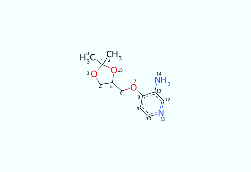 CC1(C)OCC(COc2ccncc2N)O1